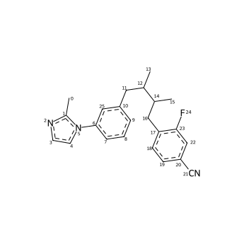 Cc1nccn1-c1cccc(CC(C)C(C)Cc2ccc(C#N)cc2F)c1